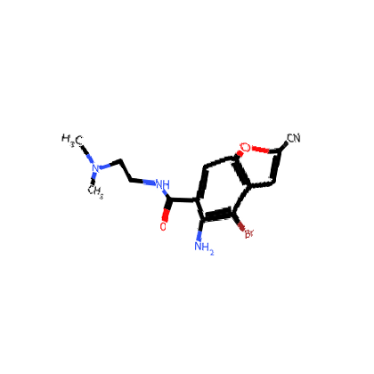 CN(C)CCNC(=O)c1cc2oc(C#N)cc2c(Br)c1N